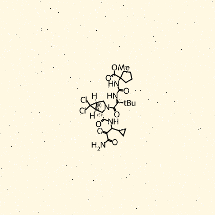 COC(=O)C1(NC(=O)N[C@H](C(=O)N2C[C@H]3[C@@H]([C@H]2C(=O)NC(C(=O)C(N)=O)C2CC2)C3(Cl)Cl)C(C)(C)C)CCCC1